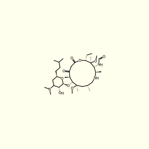 CC[C@H]1OC(=O)CC(=O)[C@H](C)[C@@H](O[C@@H]2O[C@H](CCC(C)C)CC(N(C)C)[C@H]2O)[C@](C)(OC)C[C@@H](C)CN[C@H](C)[C@@H](NC=O)[C@]1(C)OC